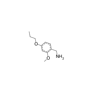 CCCOc1ccc(CN)c(OC)c1